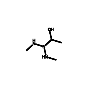 CNN(NC)C(C)O